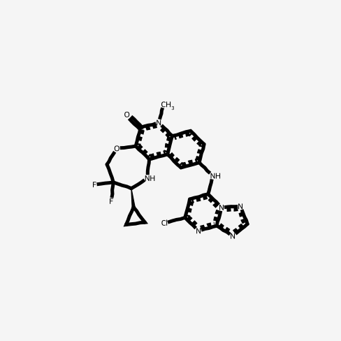 Cn1c(=O)c2c(c3cc(Nc4cc(Cl)nc5ncnn45)ccc31)N[C@@H](C1CC1)C(F)(F)CO2